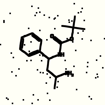 CC(N)CC(NC(=O)OC(C)(C)C)c1ccccc1